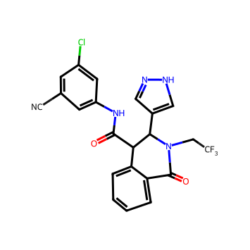 N#Cc1cc(Cl)cc(NC(=O)C2c3ccccc3C(=O)N(CC(F)(F)F)C2c2cn[nH]c2)c1